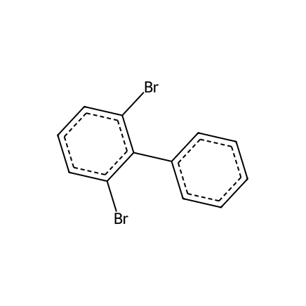 Brc1cccc(Br)c1-c1ccccc1